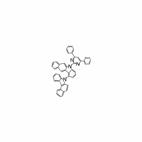 c1ccc(-c2cc(-c3ccccc3)nc(-n3c4cc5ccccc5cc4c4c(-n5c6ccccc6c6c7ccccc7ccc65)cccc43)n2)cc1